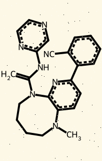 C=C(Nc1cnccn1)N1CCCCN(C)c2ccc(-c3ccccc3C#N)nc21